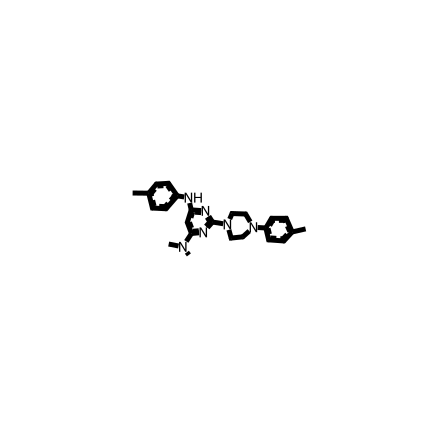 Cc1ccc(Nc2cc(N(C)C)nc(N3CCN(c4ccc(C)cc4)CC3)n2)cc1